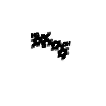 Cc1ccc(C(O)C2CCN(CCc3c(C)nc4c(O)cc(C)cn4c3=O)CC2)cc1